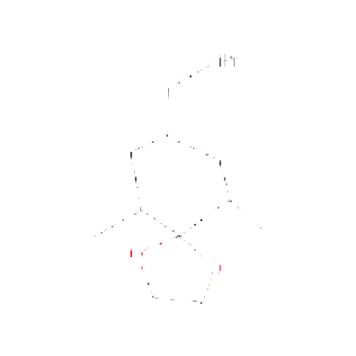 CC(C)CC1CC(C)C2(OCCO2)C(C)C1